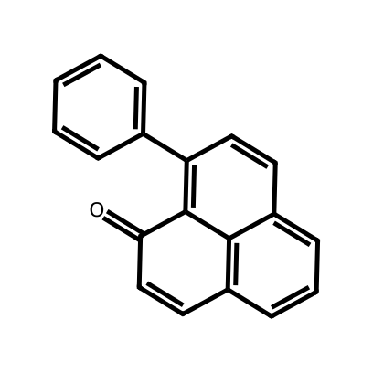 O=C1C=Cc2cccc3ccc(-c4ccccc4)c1c23